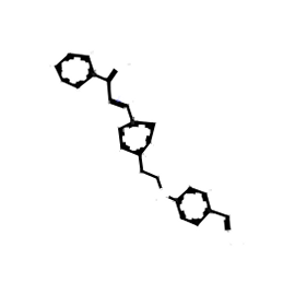 C=Cc1ccc(OCCc2ccc(/C=C/C(=O)c3ccccc3)cc2)cc1